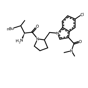 CCCCC(C)[C@H](N)C(=O)N1CCCC1Cn1cc(C(=O)N(C)C)c2cc(Cl)ccc21